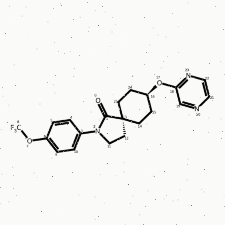 O=C1N(c2ccc(OC(F)(F)F)cc2)CC[C@]12CC[C@H](Oc1cnccn1)CC2